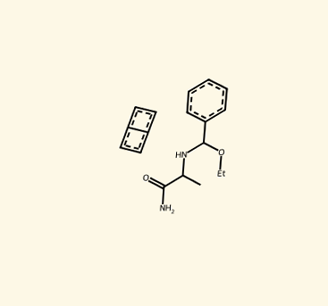 CCOC(NC(C)C(N)=O)c1ccccc1.c1cc2ccc1-2